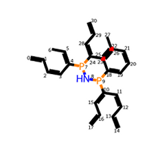 C=C/C=C\C(=C/C)P(NP(C(/C=C\C=C)=C/C=C)c1ccccc1)C(/C=C\C)=C/C=C